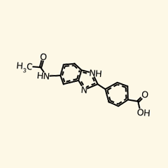 CC(=O)Nc1ccc2[nH]c(-c3ccc(C(=O)O)cc3)nc2c1